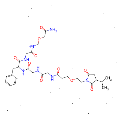 CC(C)C1CC(=O)N(CCOCCC(=O)NCC(=O)NCC(=O)NC(Cc2ccccc2)C(=O)NCC(=O)NCOCC(N)=O)C1=O